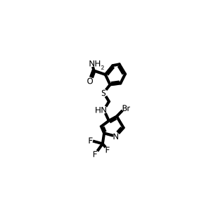 NC(=O)c1ccccc1SCNc1cc(C(F)(F)F)ncc1Br